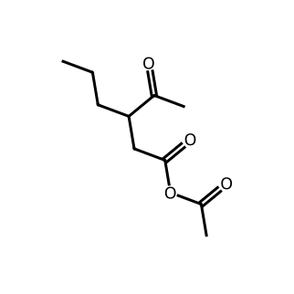 CCCC(CC(=O)OC(C)=O)C(C)=O